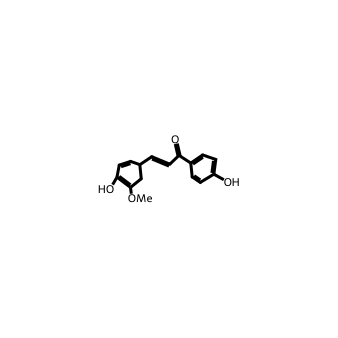 COC1=C(O)C=CC(C=CC(=O)c2ccc(O)cc2)C1